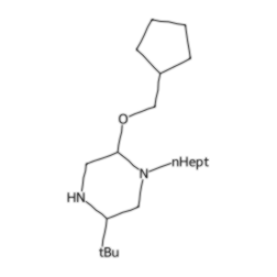 CCCCCCCN1CC(C(C)(C)C)NCC1OCC1CCCC1